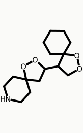 C1CCC2(CC1)OOC[C]2C1CC2(CCNCC2)OO1